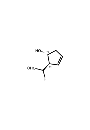 O=CC(F)[C@@H]1C=CC[C@H]1O